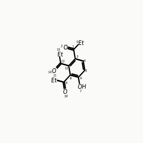 CCC(=O)c1ccc(O)c(C(=O)CC)c1C(=O)CC